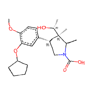 COc1ccc([C@H]2CN(C(=O)O)C(C)[C@]2(C)[C@@H](C)O)cc1OC1CCCC1